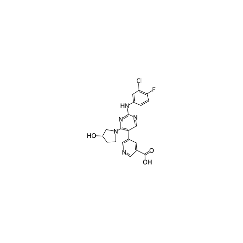 O=C(O)c1cncc(-c2cnc(Nc3ccc(F)c(Cl)c3)nc2N2CCC(O)C2)c1